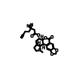 C#CCCC1(CC(=O)O[C@H]2C=C3CCN(C)[C@H]3[C@@H]3c4cc5c(cc4C(=O)O[C@@H]32)OCO5)N=N1